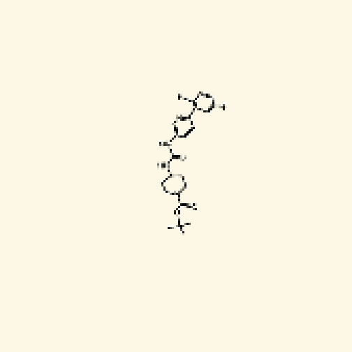 CC(C)(C)OC(=O)N1CCC(NC(=O)Nc2ccc(-c3cc(F)ccc3F)nc2)CC1